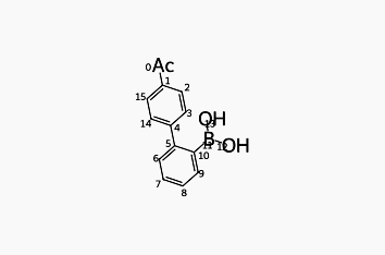 CC(=O)c1ccc(-c2ccccc2B(O)O)cc1